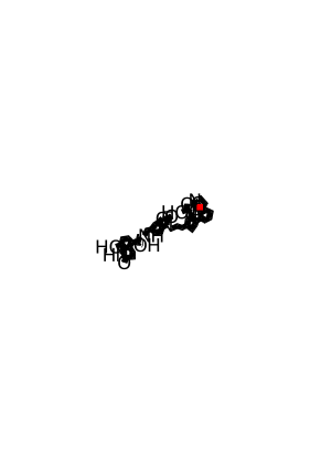 O=C(O)N(c1cc(CCCn2c(=O)oc3cc(CNC[C@@H](O)c4ccc(O)c5[nH]c(=O)ccc45)ccc32)ccc1-c1ccccc1)[C@H]1CN2CCC1CC2